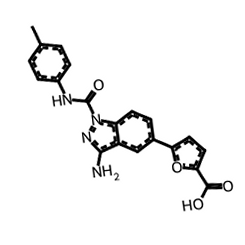 Cc1ccc(NC(=O)n2nc(N)c3cc(-c4ccc(C(=O)O)o4)ccc32)cc1